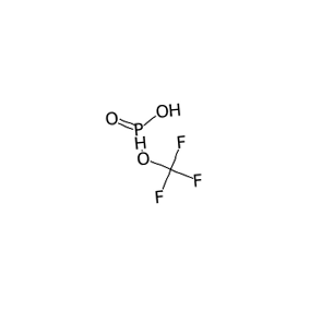 O=[PH](O)OC(F)(F)F